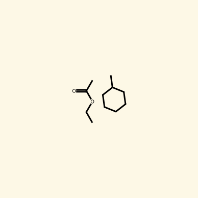 CC1CCCCC1.CCOC(C)=O